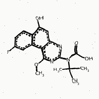 COc1nc(N(C(=O)O)C(C)(C)C)nc2cc(O)c3ccc(F)cc3c12